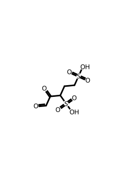 O=CC(=O)C(CCS(=O)(=O)O)S(=O)(=O)O